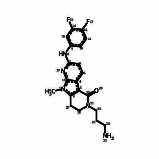 Cn1c2c(c3ccc(Nc4ccc(F)c(F)c4)nc31)C(=O)N(CCCN)CC2